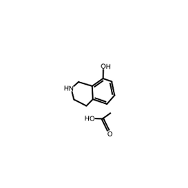 CC(=O)O.Oc1cccc2c1CNCC2